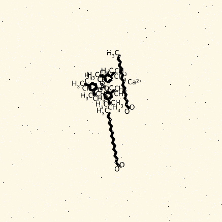 CC(C)(C)c1ccc(OP(Oc2ccc(C(C)(C)C)cc2C(C)(C)C)Oc2ccc(C(C)(C)C)cc2C(C)(C)C)c(C(C)(C)C)c1.CCCCCCCCCCCCCCCCCC(=O)[O-].CCCCCCCCCCCCCCCCCC(=O)[O-].[Ca+2]